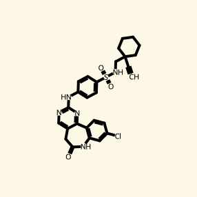 C#CC1(CNS(=O)(=O)c2ccc(Nc3ncc4c(n3)-c3ccc(Cl)cc3NC(=O)C4)cc2)CCCCC1